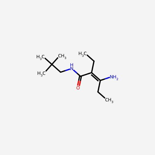 CC/C(N)=C(/CC)C(=O)NCC(C)(C)C